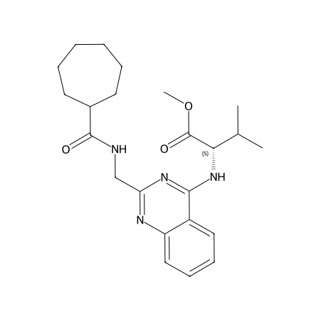 COC(=O)[C@@H](Nc1nc(CNC(=O)C2CCCCCC2)nc2ccccc12)C(C)C